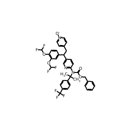 CC(C)(c1ccc(C(F)(F)F)cc1)N(C(=O)OCc1ccccc1)c1ccc(C(Cc2cc[n+]([O-])cc2)c2ccc(OC(F)F)c(OC(F)F)c2)cn1